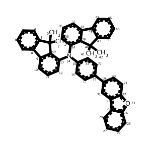 CC1(C)c2ccccc2-c2cccc(N(c3ccc(-c4ccc5oc6ccccc6c5c4)cc3)c3cccc4c3C(C)(C)c3ccccc3-4)c21